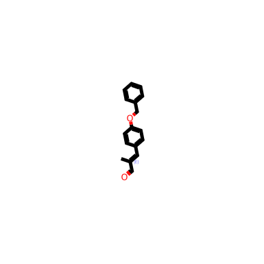 C/C(C=O)=C\c1ccc(OCc2ccccc2)cc1